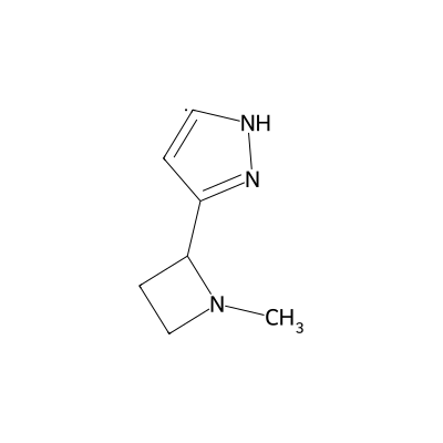 CN1CCC1c1c[c][nH]n1